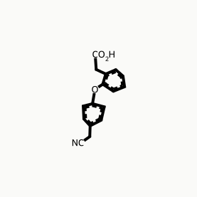 N#CCc1ccc(Oc2ccccc2CC(=O)O)cc1